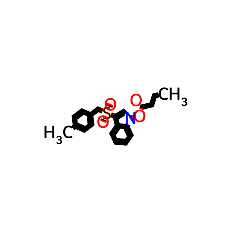 CCCC(=O)On1cc(S(=O)(=O)Cc2ccc(C)cc2)c2ccccc21